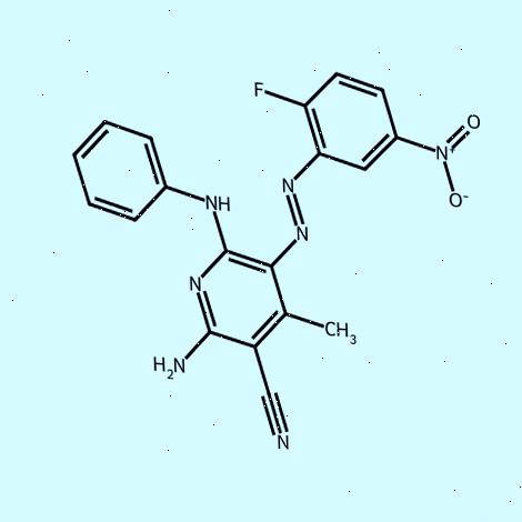 Cc1c(C#N)c(N)nc(Nc2ccccc2)c1/N=N/c1cc([N+](=O)[O-])ccc1F